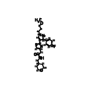 COCCCn1cc(-c2nc(CC(=O)NCC3CCOCC3)cs2)c(-c2ccc(F)cc2)n1